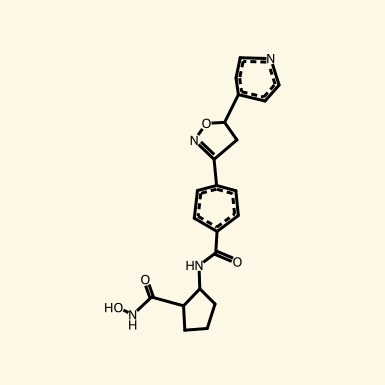 O=C(NC1CCCC1C(=O)NO)c1ccc(C2=NOC(c3ccncc3)C2)cc1